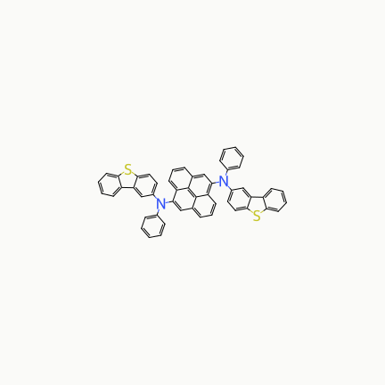 c1ccc(N(c2ccc3sc4ccccc4c3c2)c2cc3cccc4c(N(c5ccccc5)c5ccc6sc7ccccc7c6c5)cc5cccc2c5c34)cc1